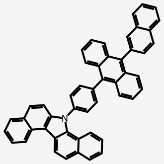 c1ccc2cc(-c3c4ccccc4c(-c4ccc(-n5c6ccc7ccccc7c6c6ccc7ccccc7c65)cc4)c4ccccc34)ccc2c1